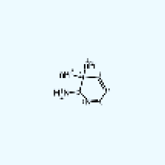 CCCC1(CCC)C=CC=NC1N